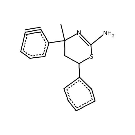 CC1(c2c#cccc2)CC(c2ccccc2)SC(N)=N1